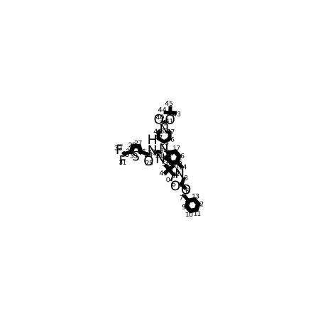 C[C@H](N(CC(=O)OCc1ccccc1)Cc1ccc2c(c1)nc(NC(=O)c1ccc(C(F)F)s1)n2C1CCN(C(=O)OC(C)(C)C)CC1)C(C)(C)C